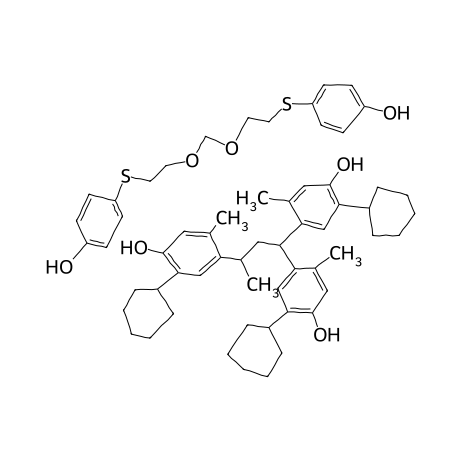 Cc1cc(O)c(C2CCCCC2)cc1C(C)CC(c1cc(C2CCCCC2)c(O)cc1C)c1cc(C2CCCCC2)c(O)cc1C.Oc1ccc(SCCOCOCCSc2ccc(O)cc2)cc1